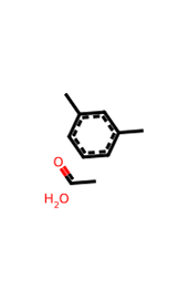 CC=O.Cc1cccc(C)c1.O